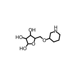 OC1OC(COC2CCCNC2)C(O)C1O